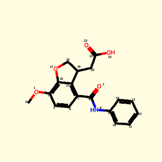 COc1ccc(C(=O)Nc2ccccc2)c2c1OCC2CC(=O)O